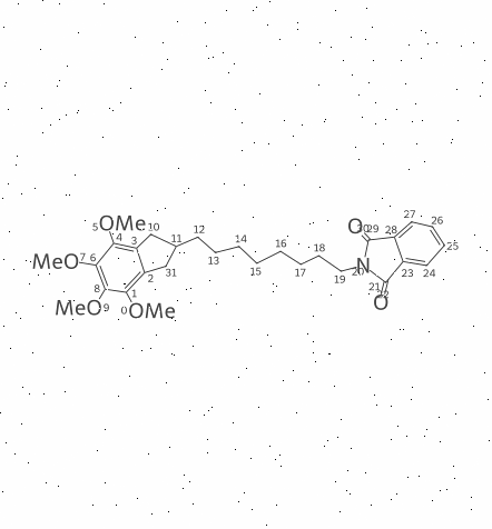 COc1c2c(c(OC)c(OC)c1OC)CC(CCCCCCCCN1C(=O)c3ccccc3C1=O)C2